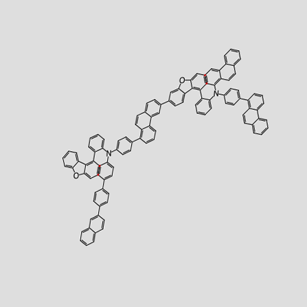 c1ccc(N(c2ccc(-c3ccc(-c4ccc5ccccc5c4)cc3)cc2)c2ccc(-c3cccc4c3ccc3ccc(-c5ccc6c(c5)oc5cccc(-c7ccccc7N(c7ccc(-c8cccc9c8ccc8ccccc89)cc7)c7cccc8c7ccc7ccccc78)c56)cc34)cc2)c(-c2cccc3oc4ccccc4c23)c1